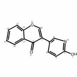 O=c1c(-c2ccc(O)nc2)coc2ccccc12